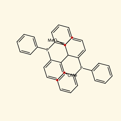 COc1cccc(P(c2ccccc2)c2ccccc2)c1C1C(P(c2ccccc2)c2ccccc2)=CC=CC1OC